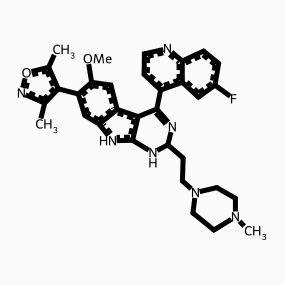 COc1cc2c3c([nH]c2cc1-c1c(C)noc1C)NC(CCN1CCN(C)CC1)N=C3c1ccnc2ccc(F)cc12